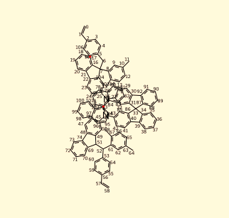 C=Cc1ccc(CC2(c3cc(C)ccc3C)c3ccccc3-c3ccc(N(c4ccc5c(c4)C4(c6ccccc6-c6ccc(N(c7ccc8c(c7)C(C(c7ccc(C=C)cc7)c7cc(C)ccc7C)c7ccccc7-8)c7cccc8ccccc78)cc64)c4ccccc4-5)c4cccc5ccccc45)cc32)cc1